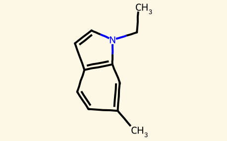 CCn1ccc2ccc(C)cc21